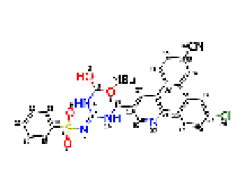 CC(C)(C)OC(O)N/C(=N\S(=O)(=O)c1ccccc1)NCc1cnc(-c2ccc(Cl)cc2)c(-c2ccc(C#N)cc2)c1